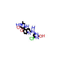 CC1CNc2c(oc3ccc4nc(Nc5cc(Cl)nc(O)n5)ccc4c23)C(=O)N1